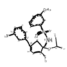 Cc1cccc(S(=O)(=O)NC2(OC(F)F)CC(c3cccc(F)c3)=CC=C2F)c1